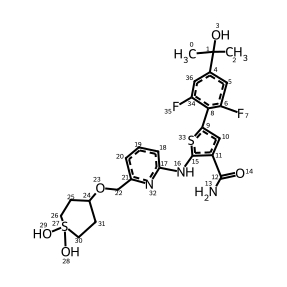 CC(C)(O)c1cc(F)c(-c2cc(C(N)=O)c(Nc3cccc(COC4CCS(O)(O)CC4)n3)s2)c(F)c1